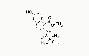 COC(=O)c1c(NC(=O)C(C)(C)C)ccc2c1OCC(O)C2